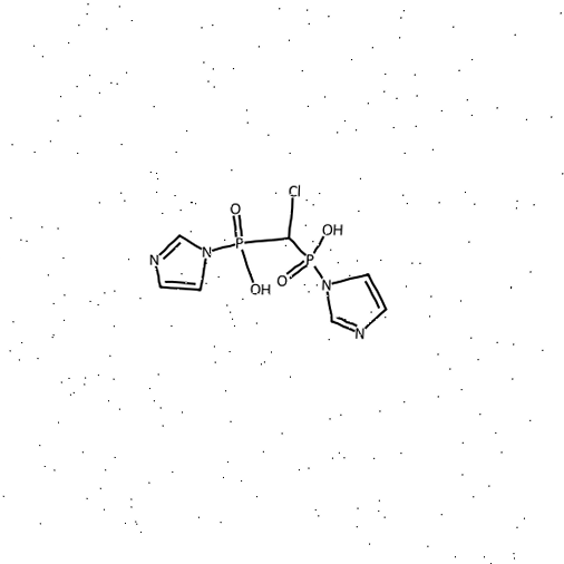 O=P(O)(C(Cl)P(=O)(O)n1ccnc1)n1ccnc1